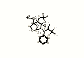 CC1(C)O[C@@H]2[C@@H](N(C(=O)C(F)(F)F)c3ccccc3)[C@H]3OC[C@@](CO)(O3)[C@@H]2O1